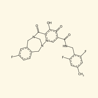 Cc1cc(F)c(CNC(=O)c2cn3c(c(O)c2=O)C(=O)N2Cc4cc(F)ccc4CN3C2)c(F)c1